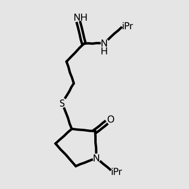 CC(C)NC(=N)CCSC1CCN(C(C)C)C1=O